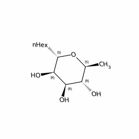 CCCCCC[C@@H]1O[C@@H](C)[C@H](O)[C@@H](O)[C@H]1O